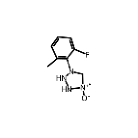 Cc1cccc(F)c1N1C[N+](C)([O-])NN1